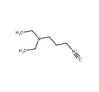 [C-]#[N+]CCCN(CC)CC